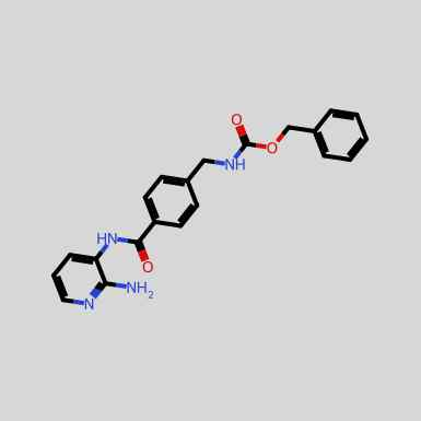 Nc1ncccc1NC(=O)c1ccc(CNC(=O)OCc2ccccc2)cc1